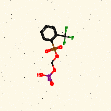 O=[PH](O)OCOS(=O)(=O)c1ccccc1C(F)(F)F